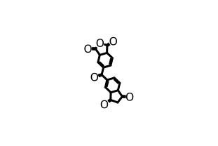 O=C(C1=CC2C(=O)CC(=O)C2C=C1)C1=CC2C(=O)OC(=O)C2C=C1